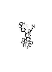 COc1ccc(-c2cc3c(OC)cc(OC)cc3nc2OCC#N)cc1